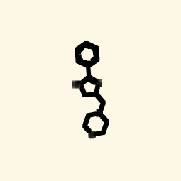 c1ccc(C2=NC(CN3CCOCC3)CN2)cc1